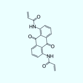 C=CC(=O)Nc1cccc2c1C(=O)c1cccc(NC(=O)C=C)c1C2=O